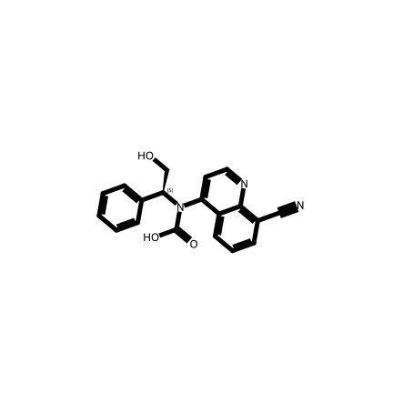 N#Cc1cccc2c(N(C(=O)O)[C@H](CO)c3ccccc3)ccnc12